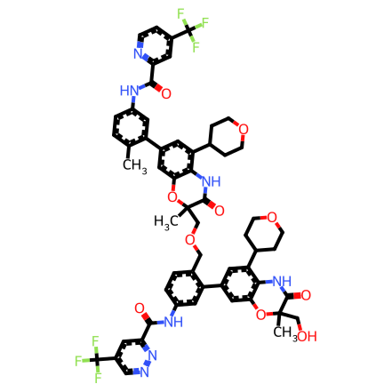 Cc1ccc(NC(=O)c2cc(C(F)(F)F)ccn2)cc1-c1cc2c(c(C3CCOCC3)c1)NC(=O)C(C)(COCc1ccc(NC(=O)c3cc(C(F)(F)F)cnn3)cc1-c1cc3c(c(C4CCOCC4)c1)NC(=O)C(C)(CO)O3)O2